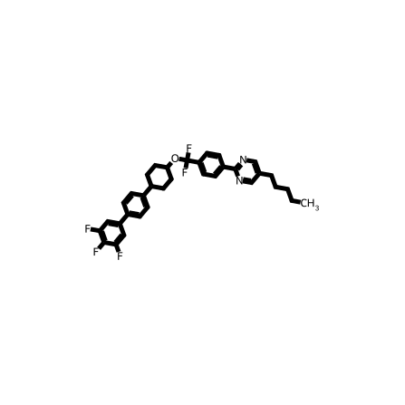 CCCCCc1cnc(-c2ccc(C(F)(F)OC3CCC(c4ccc(-c5cc(F)c(F)c(F)c5)cc4)CC3)cc2)nc1